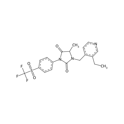 CCc1cnccc1CN1C(=O)N(c2ccc(S(=O)(=O)C(F)(F)F)cc2)C(=O)C1C